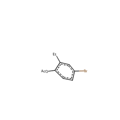 CCc1cc(Br)ccc1OC(C)=O